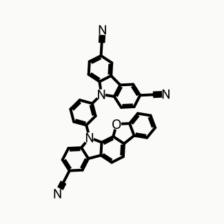 N#Cc1ccc2c(c1)c1cc(C#N)ccc1n2-c1cccc(-n2c3ccc(C#N)cc3c3ccc4c5ccccc5oc4c32)c1